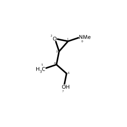 CNC1OC1C(C)CO